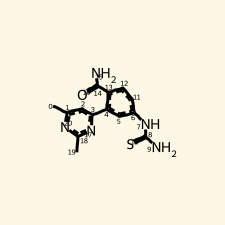 Cc1cc(-c2cc(NC(N)=S)ccc2C(N)=O)nc(C)n1